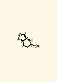 CC(C)(C)C1CCc2nocc2N1